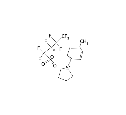 Cc1ccc([S+]2CCCC2)cc1.O=S(=O)([O-])C(F)(F)C(F)(F)C(F)(F)C(F)(F)F